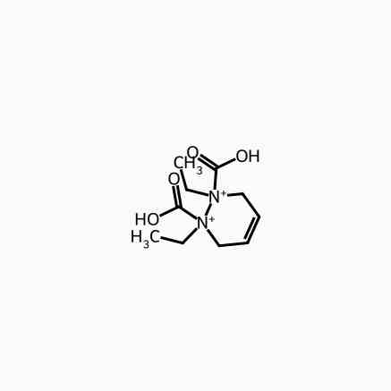 CC[N+]1(C(=O)O)CC=CC[N+]1(CC)C(=O)O